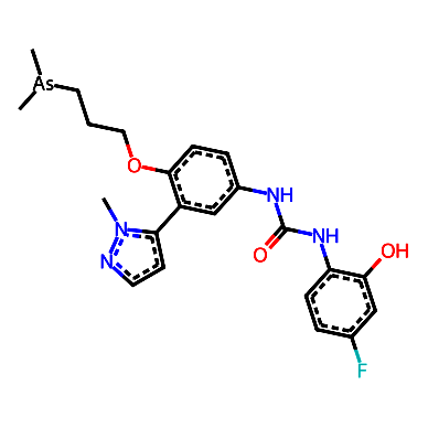 Cn1nccc1-c1cc(NC(=O)Nc2ccc(F)cc2O)ccc1OCCC[As](C)C